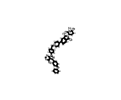 Nc1ncnc2c1c(-c1ccc(Oc3ccccc3)cc1)nn2C1CCC(CN2CCC(c3ccc4c(c3)C(=O)N(C3CCC(=O)NC3=O)C4=O)CC2)CC1